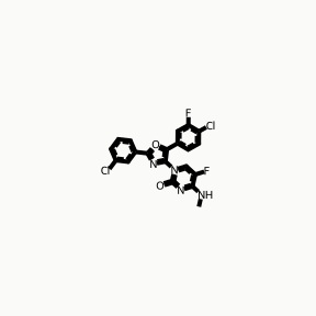 CNc1nc(=O)n(-c2nc(-c3cccc(Cl)c3)oc2-c2ccc(Cl)c(F)c2)cc1F